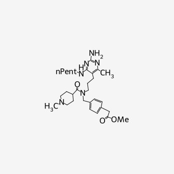 CCCCCNc1nc(N)nc(C)c1CCCN(Cc1ccc(CC(=O)OC)cc1)C(=O)C1CCN(C)CC1